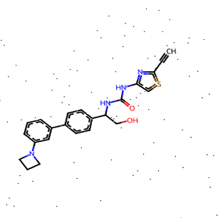 C#Cc1nc(NC(=O)NC(CO)c2ccc(-c3cccc(N4CCC4)c3)cc2)cs1